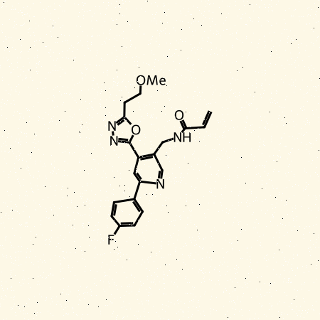 C=CC(=O)NCc1cnc(-c2ccc(F)cc2)cc1-c1nnc(CCOC)o1